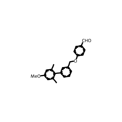 COc1cc(C)c(-c2cccc(COc3ccc(C=O)cc3)c2)c(C)c1